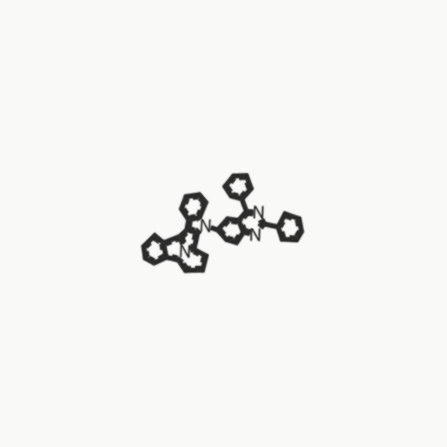 c1ccc(-c2nc(-c3ccccc3)c3cc(-n4c5ccccc5c5c4c4cccc6c7ccccc7c5n64)ccc3n2)cc1